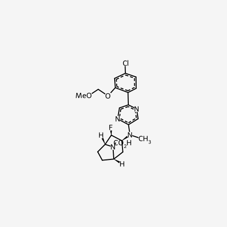 COCOc1cc(Cl)ccc1-c1cnc(N(C)[C@H]2C[C@@H]3CC[C@H]([C@H]2F)N3C(=O)O)cn1